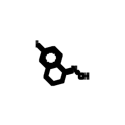 ON=C1CCCc2cc(I)ccc21